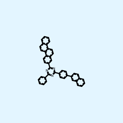 c1ccc(-c2nc(-c3ccc(-c4ccc5ccccc5c4)cc3)nc(-c3ccc4c(ccc5c6ccccc6ccc45)c3)n2)cc1